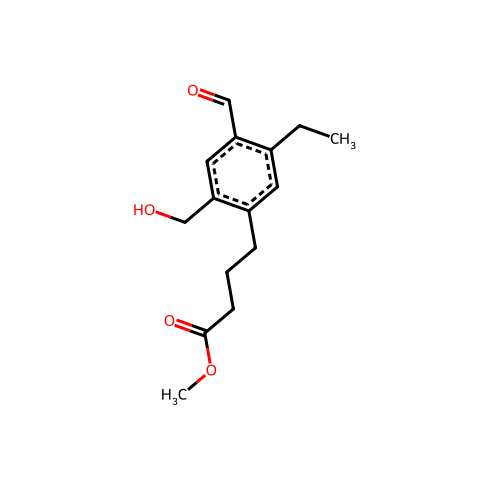 CCc1cc(CCCC(=O)OC)c(CO)cc1C=O